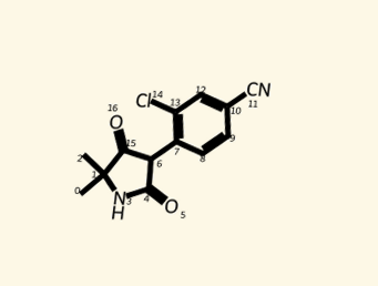 CC1(C)NC(=O)C(c2ccc(C#N)cc2Cl)C1=O